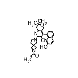 C=CC(=O)N1CC2(CCN(c3nc4c(c(-c5cccc6ccc(O)cc56)c3C#N)COC(C)(C)C4)C2)C1